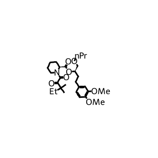 CCCOC[C@@H](CCc1ccc(OC)c(OC)c1)OC(=O)[C@@H]1CCCCN1C(=O)C(=O)C(C)(C)CC